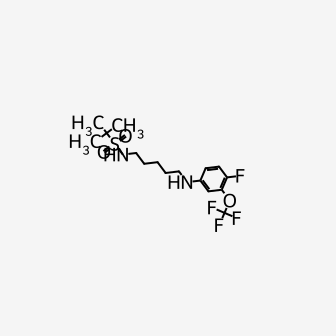 CC(C)(C)S(=O)(=O)NCCCCCNc1ccc(F)c(OC(F)(F)F)c1